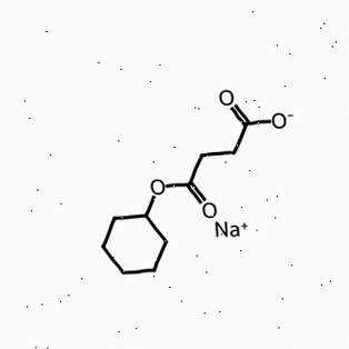 O=C([O-])CCC(=O)OC1CCCCC1.[Na+]